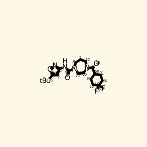 CC(C)(C)c1cc(NC(=O)N2CCCN(C(=O)C3CCC(F)(F)CC3)CC2)no1